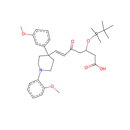 COc1cccc(C2(C=CC(=O)CC(CC(=O)O)O[Si](C)(C)C(C)(C)C)CCN(c3ccccc3OC)CC2)c1